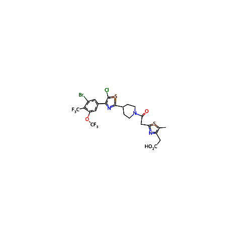 Cc1sc(CC(=O)N2CCC(c3nc(-c4cc(Br)c(C(F)(F)F)c(OC(F)(F)F)c4)c(Cl)s3)CC2)nc1CC(=O)O